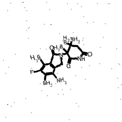 Bc1c(N)c2c(c(B)c1F)C(=O)N(C1(B)C(=O)NC(=O)CC1(B)B)C2